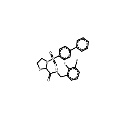 O=C(NCc1cccc(F)c1F)C1SCCN1S(=O)(=O)c1ccc(-c2ccccc2)cc1